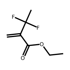 C=C(C(=O)OCC)C(C)(F)F